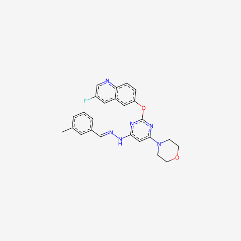 Cc1cccc(C=NNc2cc(N3CCOCC3)nc(Oc3ccc4ncc(F)cc4c3)n2)c1